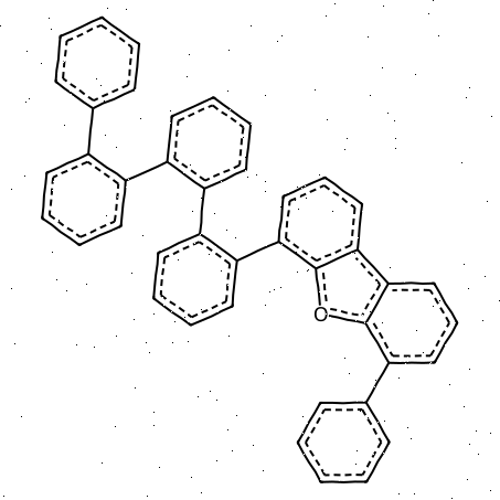 c1ccc(-c2ccccc2-c2ccccc2-c2ccccc2-c2cccc3c2oc2c(-c4ccccc4)cccc23)cc1